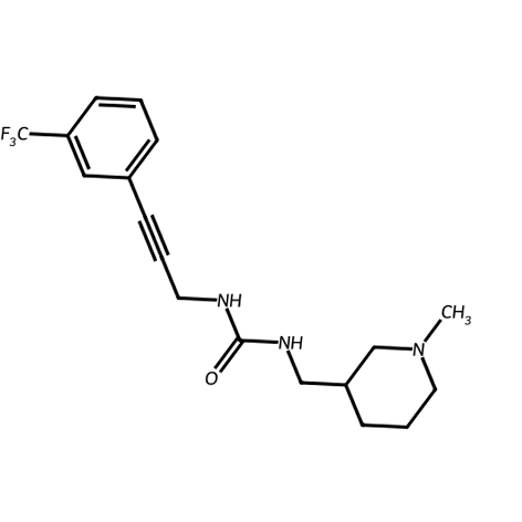 CN1CCCC(CNC(=O)NCC#Cc2cccc(C(F)(F)F)c2)C1